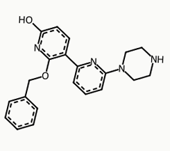 Oc1ccc(-c2cccc(N3CCNCC3)n2)c(OCc2ccccc2)n1